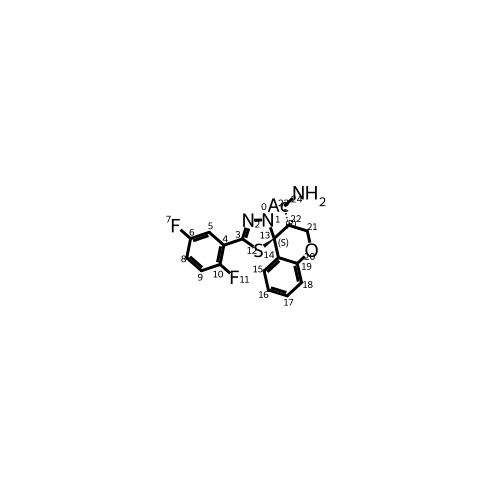 CC(=O)N1N=C(c2cc(F)ccc2F)S[C@@]12c1ccccc1OC[C@H]2CN